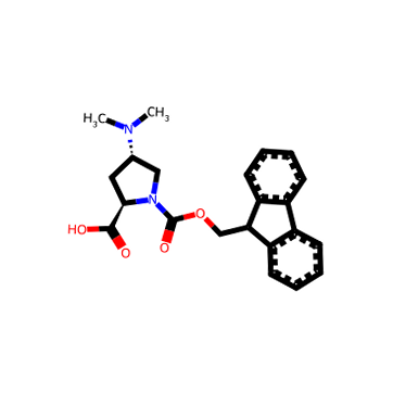 CN(C)[C@H]1C[C@H](C(=O)O)N(C(=O)OCC2c3ccccc3-c3ccccc32)C1